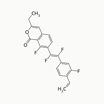 C=Cc1ccc(/C(F)=C(\F)c2ccc3cc(CC)oc(=O)c3c2F)cc1F